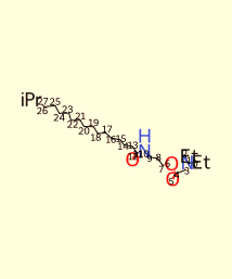 CCN(CC)CC(=O)OCCCNC(=O)CCCCCCCCCCCCCCC(C)C